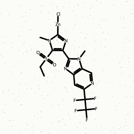 CCS(=O)(=O)c1c(-c2nc3cc(C(F)(F)C(F)(F)F)ncc3n2C)n[c]([Zn][Cl])n1C